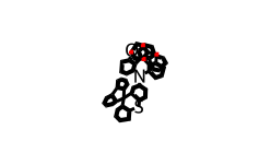 c1ccc2c(c1)Cc1cccc(N(c3ccc4c(c3)C3(c5ccccc5S4)c4ccccc4-c4ccccc43)c3cccc4oc5ccc6ccccc6c5c34)c1-2